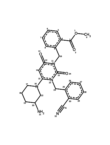 COC(=O)c1ccccc1Cn1c(=O)cc(N2CCCC(N)C2)n(Cc2ccccc2C#N)c1=O